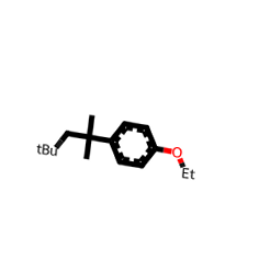 CCOc1ccc(C(C)(C)CC(C)(C)C)cc1